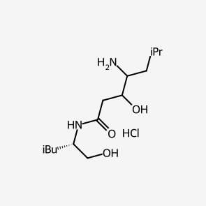 CCC(C)[C@@H](CO)NC(=O)CC(O)C(N)CC(C)C.Cl